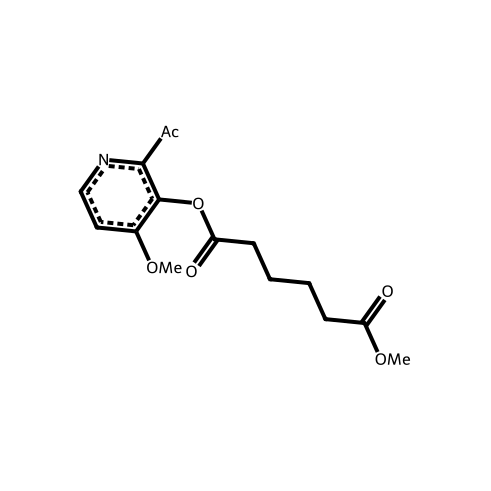 COC(=O)CCCCC(=O)Oc1c(OC)ccnc1C(C)=O